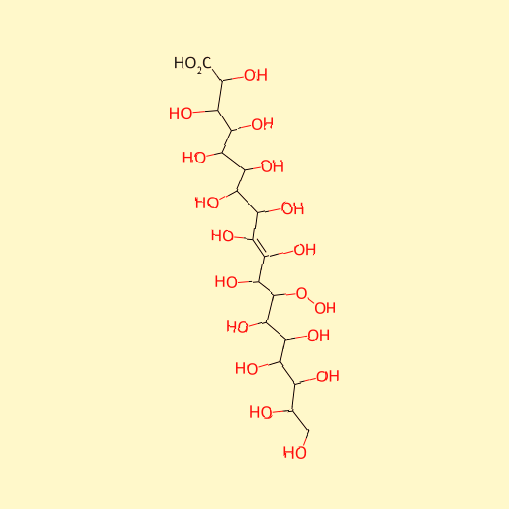 O=C(O)C(O)C(O)C(O)C(O)C(O)C(O)C(O)/C(O)=C(\O)C(O)C(OO)C(O)C(O)C(O)C(O)C(O)CO